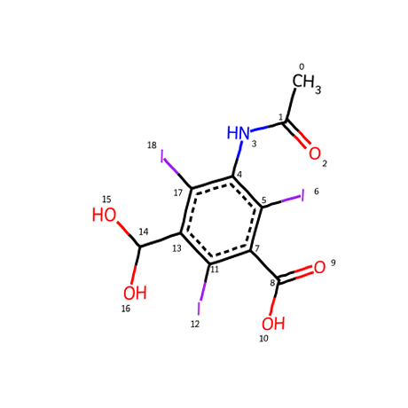 CC(=O)Nc1c(I)c(C(=O)O)c(I)c(C(O)O)c1I